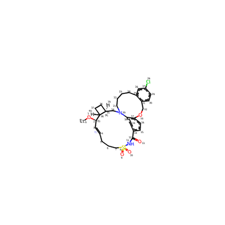 CCO[C@@H]1/C=C/CCCS(=O)(=O)NC(=O)c2ccc3c(c2)N(CCCCc2cc(Cl)ccc2CO3)C[C@@H]2CC[C@H]21